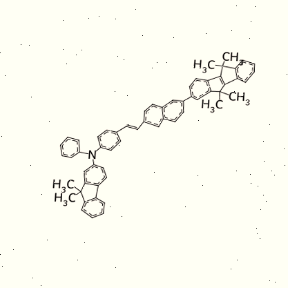 CC1(C)C2=C(c3ccccc31)C(C)(C)c1cc(-c3ccc4cc(/C=C/c5ccc(N(c6ccccc6)c6ccc7c(c6)C(C)(C)c6ccccc6-7)cc5)ccc4c3)ccc12